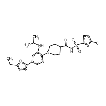 CCc1cnc(-c2cnc(N3CCC(C(=O)NS(=O)(=O)c4ccc(Cl)s4)CC3)c(NC(C)C)c2)o1